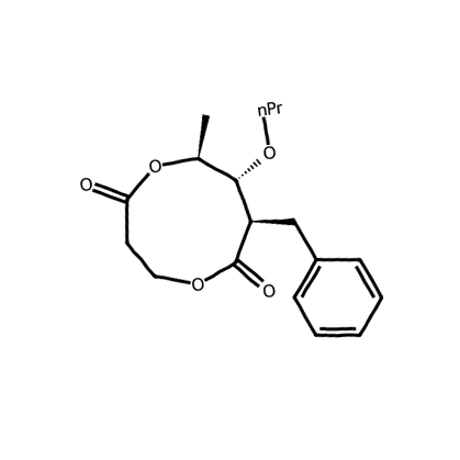 CCCO[C@H]1[C@H](C)OC(=O)CCOC(=O)[C@@H]1Cc1ccccc1